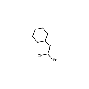 CC(C)C(Cl)OC1CCCCC1